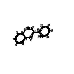 CC(=Nc1ccccc1C(C)(C)C)c1ccccn1